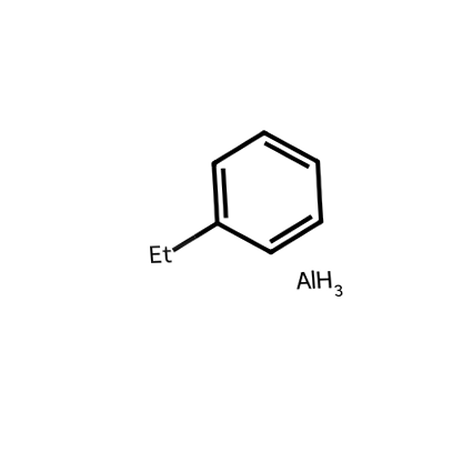 CCc1ccccc1.[AlH3]